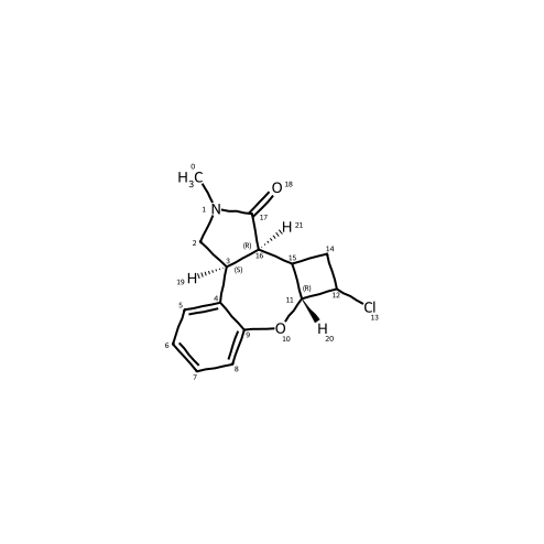 CN1C[C@@H]2c3ccccc3O[C@H]3C(Cl)CC3[C@@H]2C1=O